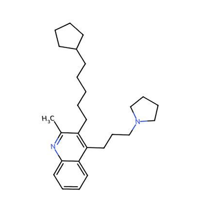 Cc1nc2ccccc2c(CCCN2CCCC2)c1CCCCCC1CCCC1